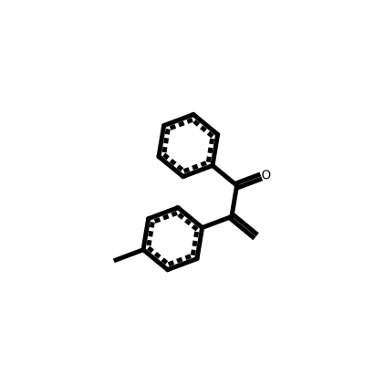 C=C(C(=O)c1ccccc1)c1ccc(C)cc1